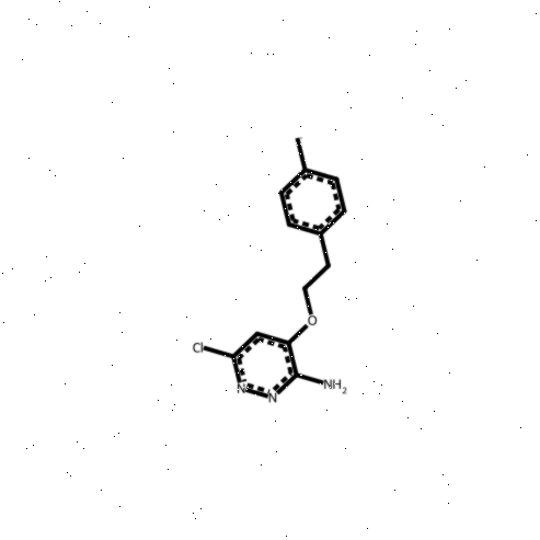 [CH2]c1ccc(CCOc2cc(Cl)nnc2N)cc1